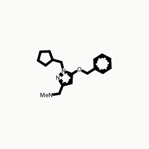 CNCc1cc(OCc2ccccc2)n(CC2CCCC2)n1